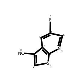 N#Cc1csc2ncc(F)cc12